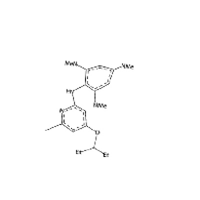 CCC(CC)Oc1cc(C)nc(Nc2c(NC)cc(NC)cc2NC)c1